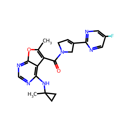 Cc1oc2ncnc(NC3(C)CC3)c2c1C(=O)N1CC=C(c2ncc(F)cn2)C1